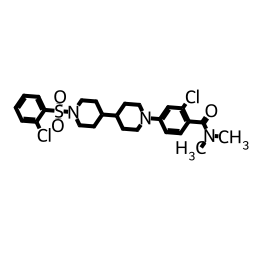 CN(C)C(=O)c1ccc(N2CCC(C3CCN(S(=O)(=O)c4ccccc4Cl)CC3)CC2)cc1Cl